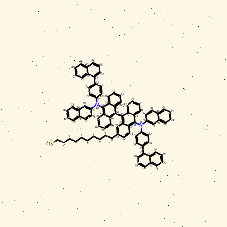 SCCCCCCCCCCc1ccc2c(N(c3ccc(-c4cccc5ccccc45)cc3)c3ccc4ccccc4c3)c3ccccc3c(-c3c4ccccc4c(N(c4ccc(-c5cccc6ccccc56)cc4)c4ccc5ccccc5c4)c4ccccc34)c2c1